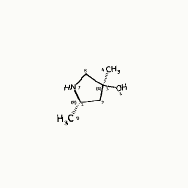 C[C@H]1C[C@](C)(O)CN1